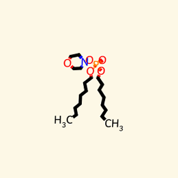 CCCCCCCCOP(=O)(OCCCCCCCC)ON1CCOCC1